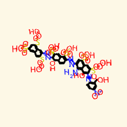 Nc1c(N=Nc2ccc3c(O)c(N=Nc4cc5c(SOOO)cc(S(=O)(=O)O)cc5cc4SOOO)c(S(=O)(=O)O)cc3c2S(=O)(=O)O)cc(S(=O)(=O)O)c2cc(SOOO)c(N=Nc3ccc([N+](=O)[O-])cc3C(=O)O)c(O)c12